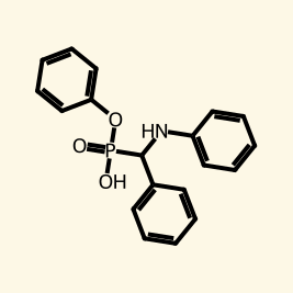 O=P(O)(Oc1ccccc1)C(Nc1ccccc1)c1ccccc1